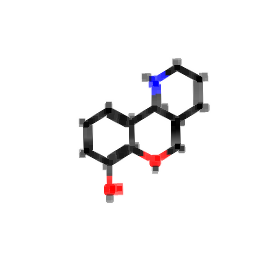 Oc1cccc2c1OC=C1C=CCN=C12